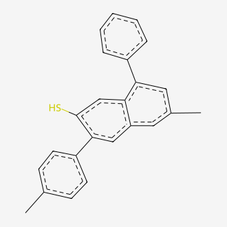 Cc1ccc(-c2cc3cc(C)cc(-c4ccccc4)c3cc2S)cc1